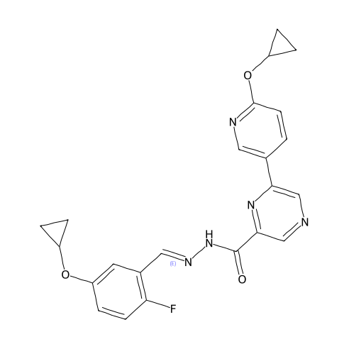 O=C(N/N=C/c1cc(OC2CC2)ccc1F)c1cncc(-c2ccc(OC3CC3)nc2)n1